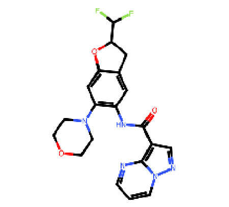 O=C(Nc1cc2c(cc1N1CCOCC1)OC(C(F)F)C2)c1cnn2cccnc12